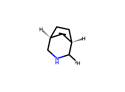 [2H]C1NC[C@H]2CC[C@@H]1C21CC1